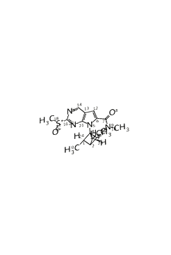 C[C@@H]1C2CC1(n1c(C(=O)N(C)C)cc3cnc([S+](C)[O-])nc31)[C@@H]2C